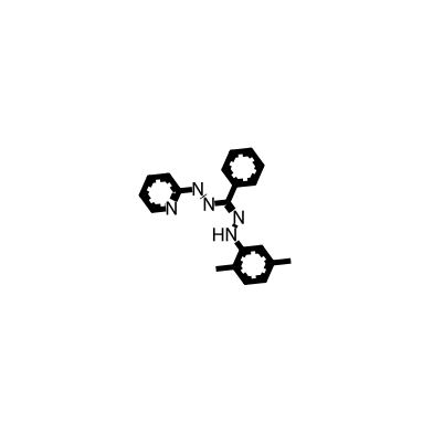 Cc1ccc(C)c(NN=C(N=Nc2ccccn2)c2ccccc2)c1